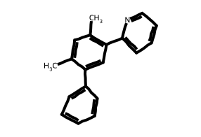 Cc1cc(C)c(-c2ccccn2)cc1-c1ccccc1